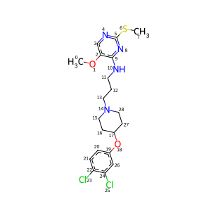 COc1cnc(SC)nc1NCCCN1CCC(Oc2ccc(Cl)c(Cl)c2)CC1